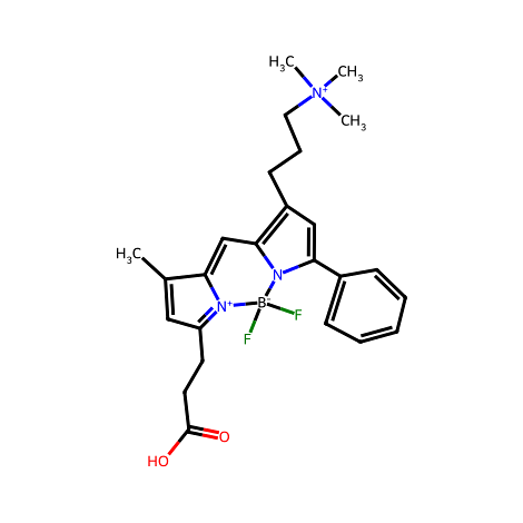 CC1=CC(CCC(=O)O)=[N+]2C1=Cc1c(CCC[N+](C)(C)C)cc(-c3ccccc3)n1[B-]2(F)F